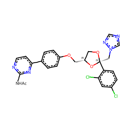 CC(=O)Nc1nccc(-c2ccc(OC[C@@H]3CO[C@@](Cn4cncn4)(c4ccc(Cl)cc4Cl)O3)cc2)n1